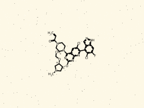 C=CC(=O)N1CCN(c2nc(O[C@@H]3CN(C)C[C@H]3OCC)nc3nc(-c4c(Cl)c(F)cc5[nH]ncc45)c(Cl)cc23)CC1